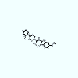 C=C(Nc1nc2cc(CC(C)C)ccc2n1C)N1CCN(c2ncccc2Cl)CC1